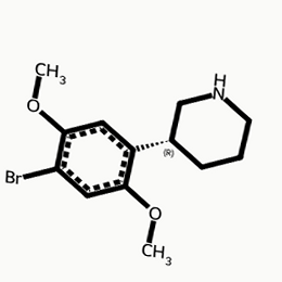 COc1cc([C@H]2CCCNC2)c(OC)cc1Br